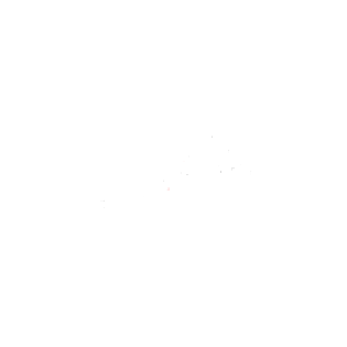 CCCOOC(=O)OC(C)C